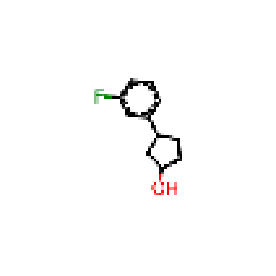 OC1CCC(c2cccc(F)c2)C1